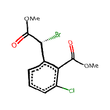 COC(=O)c1c(Cl)cccc1[C@@H](Br)C(=O)OC